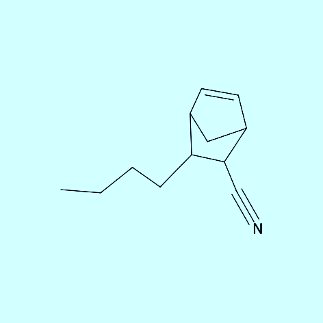 CCCCC1C2C=CC(C2)C1C#N